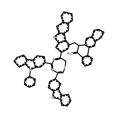 C=C1c2ccccc2-c2cc3ccccc3cc2C1Cc1cc(/C2=N/C(c3ccc4c5ccccc5n(-c5ccccc5)c4c3)=N\C(c3ccc4oc5ccccc5c4c3)=C/CC2)cc2sc3cc4ccccc4cc3c12